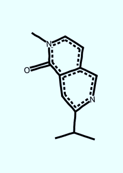 CC(C)c1cc2c(=O)n(C)ccc2cn1